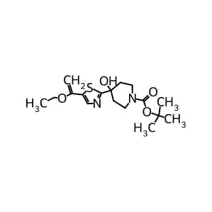 C=C(OCC)c1cnc(C2(O)CCN(C(=O)OC(C)(C)C)CC2)s1